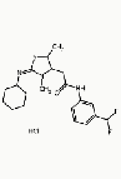 CC1SC(=NC2CCCCC2)N(C)C1CC(=O)Nc1cccc(C(F)F)c1.Cl